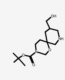 CC(C)(C)OC(=O)N1CCC2(CNCC(CO)C2)OC1